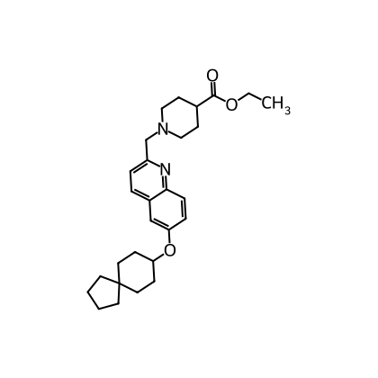 CCOC(=O)C1CCN(Cc2ccc3cc(OC4CCC5(CCCC5)CC4)ccc3n2)CC1